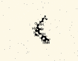 CN(C)CCCNC(=O)c1[nH]c2ncnc(Nc3cnc4[nH]ncc4c3)c2c1Br